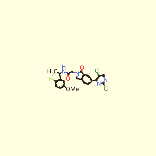 COc1ccc(F)c(C(C)NC(=O)CN2Cc3ccc(-c4nc(Cl)ncc4Cl)cc3C2=O)c1